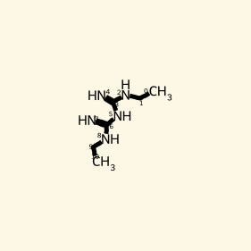 CCNC(=N)NC(=N)NCC